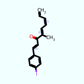 C=C/C=C\C=C(/C)C(=O)/C=C/c1ccc(I)cc1